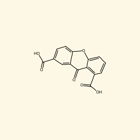 O=C(O)c1ccc2oc3cccc(C(=O)O)c3c(=O)c2c1